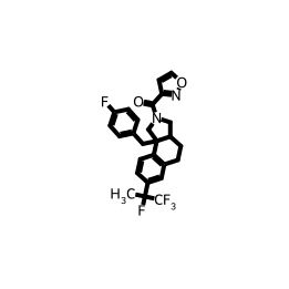 CC(F)(c1ccc2c(c1)CCC1CN(C(=O)c3ccon3)CC21Cc1ccc(F)cc1)C(F)(F)F